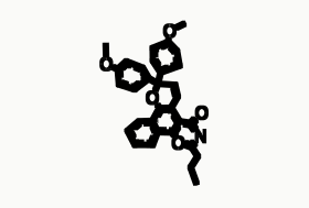 CCCc1nc(=O)c2c3c(c4ccccc4c2o1)OC(c1ccc(OC)cc1)(c1ccc(OC)cc1)C=C3